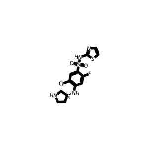 O=S(=O)(Nc1nccs1)c1cc(Cl)c(N[C@@H]2CCNC2)cc1F